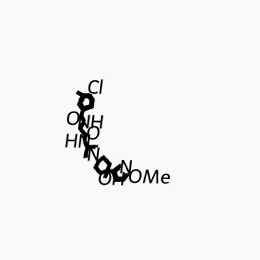 COc1ccc(C2(O)CCC(N3CC(NC(=O)CNC(=O)c4ccc(Cl)c(C)c4)C3)CC2)cn1